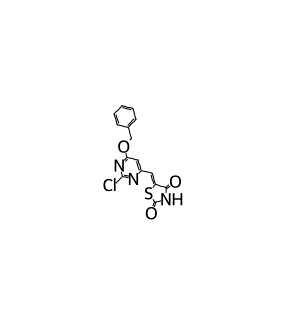 O=C1NC(=O)C(=Cc2cc(OCc3ccccc3)nc(Cl)n2)S1